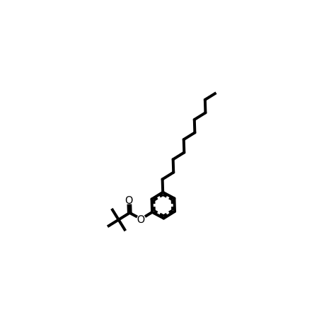 CCCCCCCCCCc1cccc(OC(=O)C(C)(C)C)c1